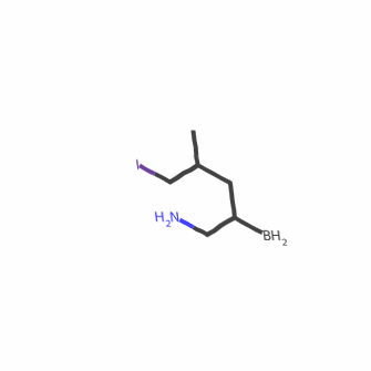 BC(CN)CC(C)CI